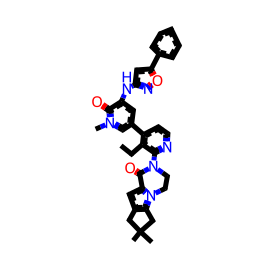 CCc1c(-c2cc(Nc3cc(-c4ccccc4)on3)c(=O)n(C)c2)ccnc1N1CCn2c(cc3c2CC(C)(C)C3)C1=O